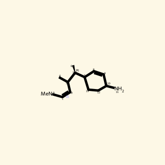 CN/C=C\C(C)[C@@H](C)C1C=CC(N)CC1